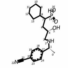 C[C@@H](NC[C@@H](O)CC(C1CCCCC1)[PH](=O)O)c1ccc(C#N)cc1